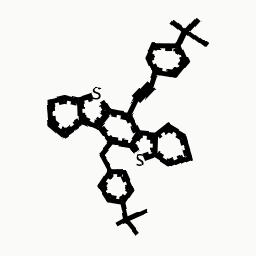 CC(C)(C)c1ccc(C#Cc2c3sc4ccccc4c3c(Cc3ccc(C(C)(C)C)cc3)c3sc4ccccc4c23)cc1